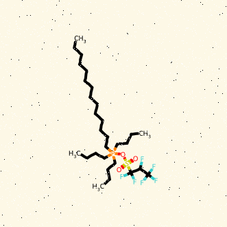 CCCCCCCCCCCCCCP(CCCC)(CCCC)(CCCC)OS(=O)(=O)C(F)(F)C(F)C(F)(F)F